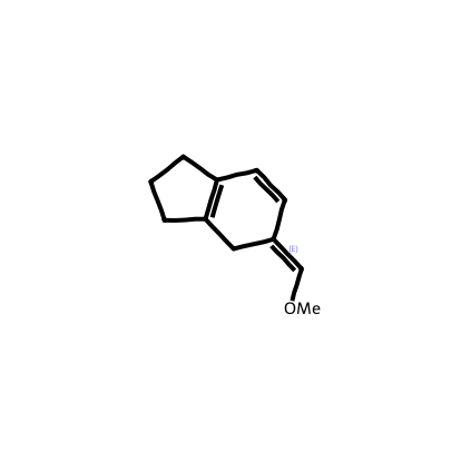 CO/C=C1/C=CC2=C(CCC2)C1